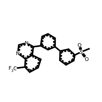 CS(=O)(=O)c1cccc(-c2cccc(-c3ncnc4c(C(F)(F)F)cccc34)c2)c1